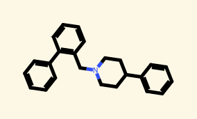 [c]1cccc(CN2CCC(c3ccccc3)CC2)c1-c1ccccc1